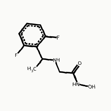 CC(NCC(=O)NO)c1c(F)cccc1F